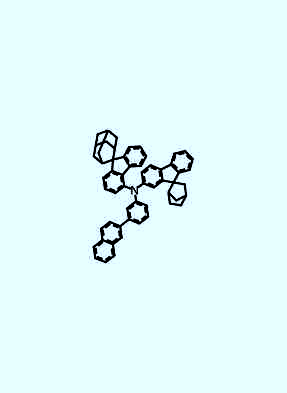 c1cc(-c2ccc3ccccc3c2)cc(N(c2ccc3c(c2)C2(CC4CCC2C4)c2ccccc2-3)c2cccc3c2-c2ccccc2C32C3CC4CC(C3)CC2C4)c1